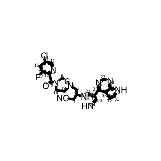 N#CCC(CN1CCN(C(=O)c2ncc(Cl)cc2F)CC1)N/C=C(\C=N)c1ncnc2[nH]ccc12